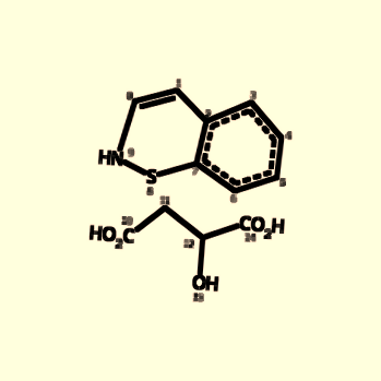 C1=Cc2ccccc2SN1.O=C(O)CC(O)C(=O)O